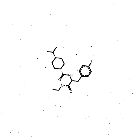 CCOC(=O)C(Cc1ccc(F)cc1)NC(=O)[C@H]1CC[C@H](C(C)C)CC1